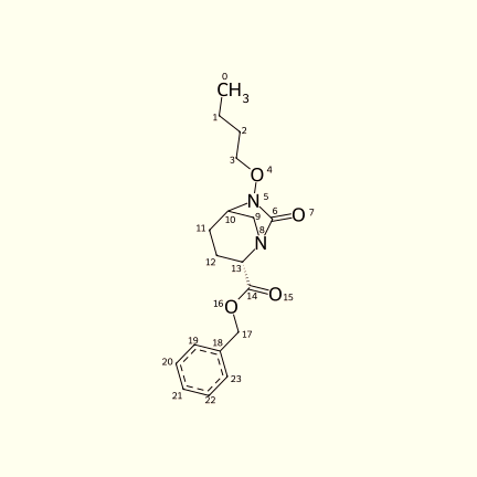 CCCCON1C(=O)N2CC1CC[C@H]2C(=O)OCc1ccccc1